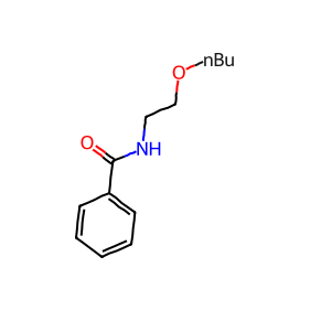 CCCCOCCNC(=O)c1ccccc1